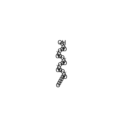 COCOCOCOCOC(=O)OCC(C)C(C)(C)OCC(C)OC(=O)OCC(C)C(C)(C)OCC(C)OC(=O)OCC(C)C(C)(C)OCC(C)OC(=O)OCC(C)C(C)(C)OCC(C)OC(=O)OCC(C)C(C)(C)OCC(C)O